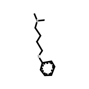 CN(C)CC[CH]CSc1ccccc1